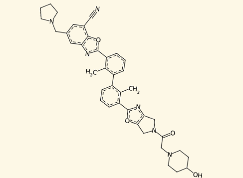 Cc1c(-c2nc3c(o2)CN(C(=O)CN2CCC(O)CC2)C3)cccc1-c1cccc(-c2nc3cc(CN4CCCC4)cc(C#N)c3o2)c1C